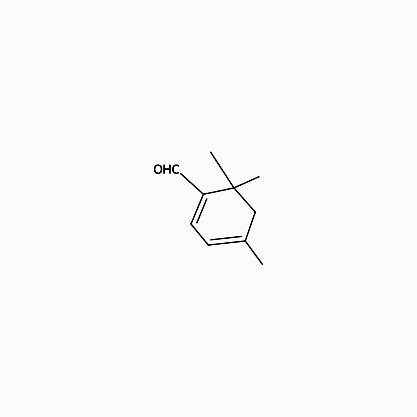 CC1=CC=C(C=O)C(C)(C)C1